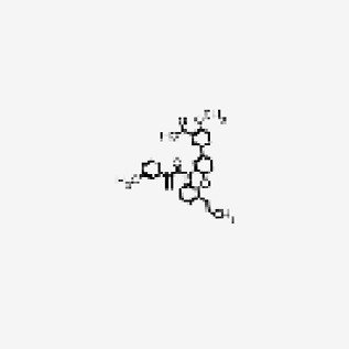 CCCc1ccccc1Oc1ccc(-c2ccc(OC)c(C(=O)O)c2)cc1NC(=O)Nc1cccc(C)c1